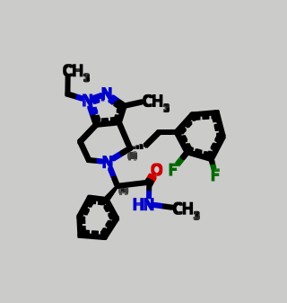 CCn1nc(C)c2c1CCN([C@@H](C(=O)NC)c1ccccc1)[C@H]2CCc1cccc(F)c1F